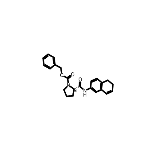 O=C(Nc1ccc2c(c1)C=CCC2)[C@@H]1CCCN1C(=O)OCc1ccccc1